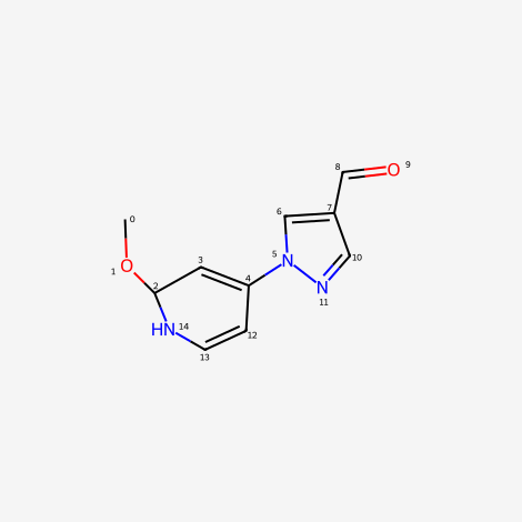 COC1C=C(n2cc(C=O)cn2)C=CN1